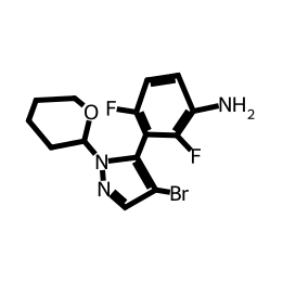 Nc1ccc(F)c(-c2c(Br)cnn2C2CCCCO2)c1F